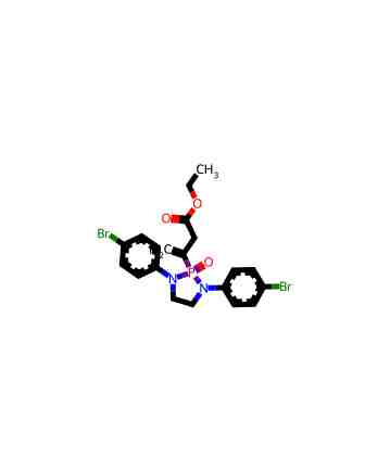 C=C(CC(=O)OCC)P1(=O)N(c2ccc(Br)cc2)CCN1c1ccc(Br)cc1